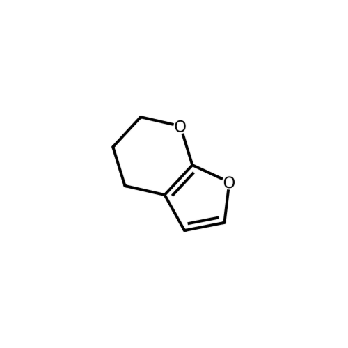 c1cc2c(o1)OCCC2